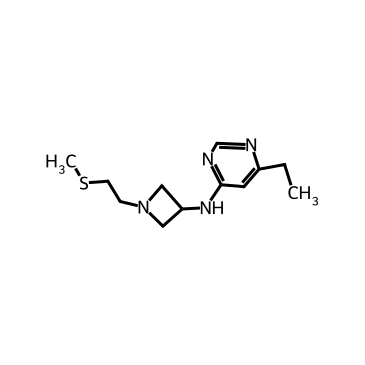 CCc1cc(NC2CN(CCSC)C2)ncn1